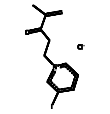 C=C(C)C(=O)CC[n+]1cccc(I)c1.[Cl-]